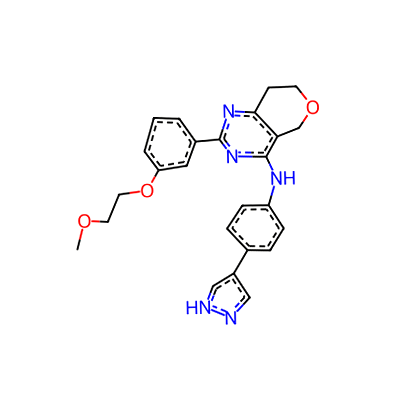 COCCOc1cccc(-c2nc3c(c(Nc4ccc(-c5cn[nH]c5)cc4)n2)COCC3)c1